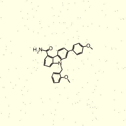 COc1ccc(-c2c[c]c3c4c(C(N)=O)cccc4n(Cc4ccccc4OC)c3c2)cc1